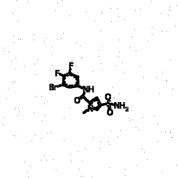 Cn1cc(S(N)(=O)=O)cc1C(=O)Nc1cc(F)c(F)c(Br)c1